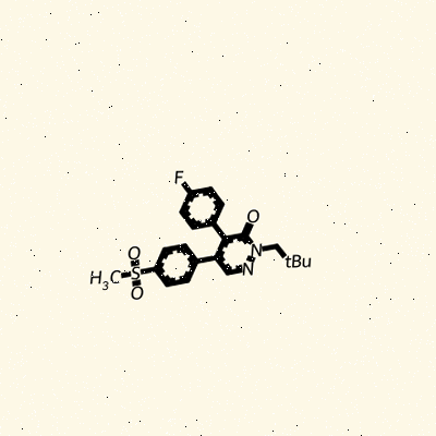 CC(C)(C)Cn1ncc(-c2ccc(S(C)(=O)=O)cc2)c(-c2ccc(F)cc2)c1=O